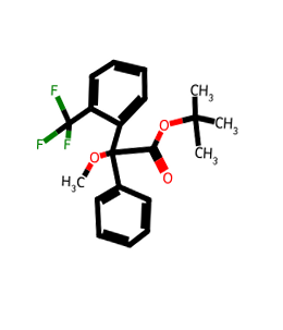 COC(C(=O)OC(C)(C)C)(c1ccccc1)c1ccccc1C(F)(F)F